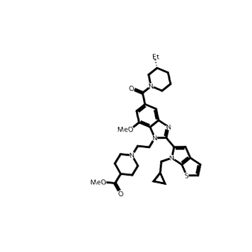 CC[C@@H]1CCCN(C(=O)c2cc(OC)c3c(c2)nc(-c2cc4ccsc4n2CC2CC2)n3CCN2CCC(C(=O)OC)CC2)C1